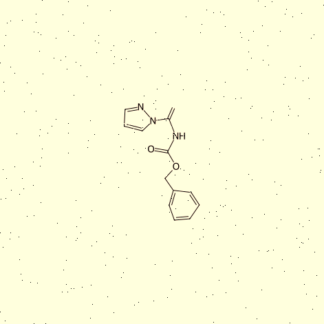 C=C(NC(=O)OCc1ccccc1)n1cccn1